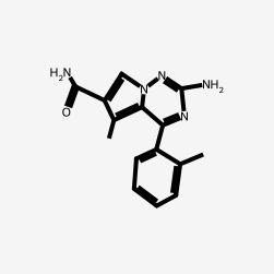 Cc1ccccc1-c1nc(N)nn2cc(C(N)=O)c(C)c12